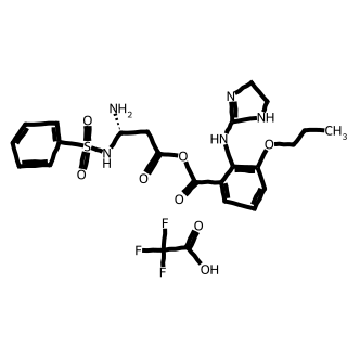 CCCOc1cccc(C(=O)OC(=O)C[C@@H](N)NS(=O)(=O)c2ccccc2)c1NC1=NCCN1.O=C(O)C(F)(F)F